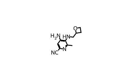 Cc1nc(C#N)cc(N)c1NCC1CCO1